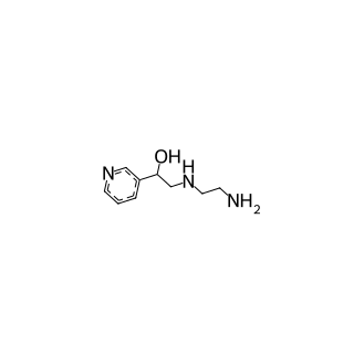 NCCNCC(O)c1cccnc1